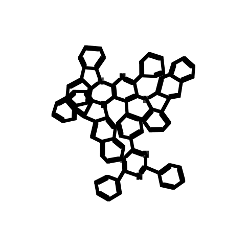 c1ccc(-c2nc(-c3ccccc3)nc(-c3ccc(-c4c(-n5c6ccccc6c6cc7ccccc7cc65)c(-c5ccccc5)nc(-n5c6ccccc6c6cc7ccccc7cc65)c4-n4c5ccccc5c5cc6ccccc6cc54)cc3)n2)cc1